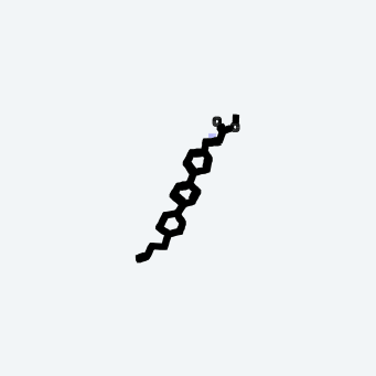 C=CCCC1CCC(c2ccc(-c3ccc(/C=C/C(=O)OC)cc3)cc2)CC1